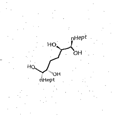 CCCCCCC[C@@H](O)[C@H](O)CC[C@H](O)[C@@H](O)CCCCCCC